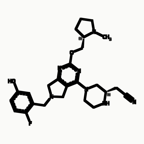 CN1CCC[C@H]1COc1nc2c(c(N3CCN[C@@H](CC#N)C3)n1)CN(Cc1cc(O)ccc1F)C2